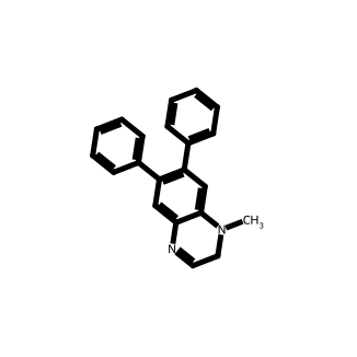 CN1CC=Nc2cc(-c3ccccc3)c(-c3ccccc3)cc21